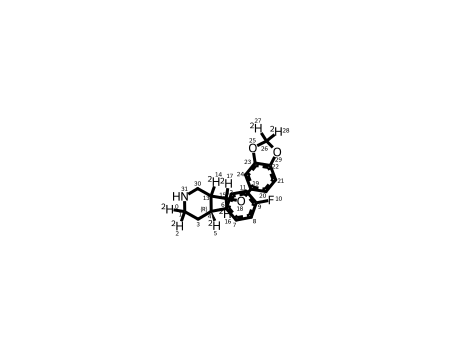 [2H]C1([2H])C[C@@]([2H])(c2ccc(F)cc2)C([2H])(C([2H])([2H])Oc2ccc3c(c2)OC([2H])([2H])O3)CN1